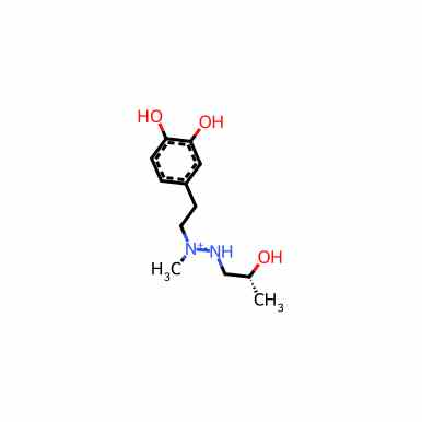 C[C@@H](O)CN[N+](C)CCc1ccc(O)c(O)c1